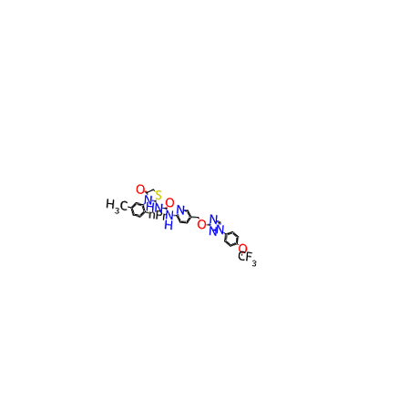 CCCc1ccc(C)cc1N1C(=O)CSC1NC(=O)Nc1ccc(COc2ncn(-c3ccc(OC(F)(F)F)cc3)n2)cn1